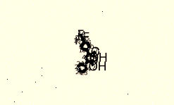 O=C(O)C(CC(C(=O)O)c1ccc(C(F)(F)F)cc1)c1ccccc1